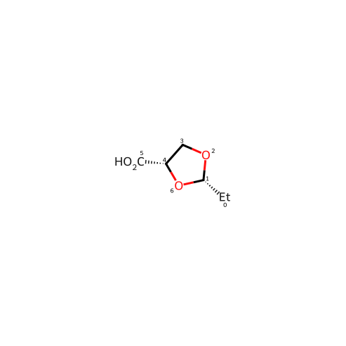 CC[C@H]1OC[C@@H](C(=O)O)O1